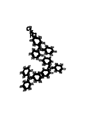 [Cl][IrH][Cl].c1ccc([As](c2ccccc2)c2ccccc2)cc1.c1ccc([As](c2ccccc2)c2ccccc2)cc1.c1ccc([As](c2ccccc2)c2ccccc2)cc1